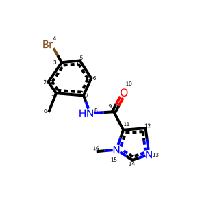 Cc1cc(Br)ccc1NC(=O)c1cncn1C